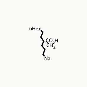 CC(=O)O.CCCCCCCCCCC[CH2][Na]